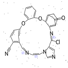 N#Cc1ccc2cc1/C=N\C=C/n1cncc1/C(Cl)=N\C1=C3CCC(=C1Oc1ccccc1O2)CC3=O